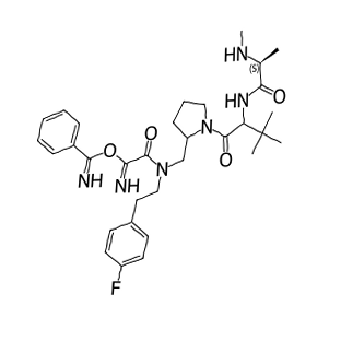 CN[C@@H](C)C(=O)NC(C(=O)N1CCCC1CN(CCc1ccc(F)cc1)C(=O)C(=N)OC(=N)c1ccccc1)C(C)(C)C